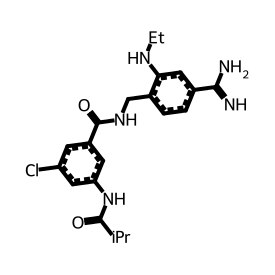 CCNc1cc(C(=N)N)ccc1CNC(=O)c1cc(Cl)cc(NC(=O)C(C)C)c1